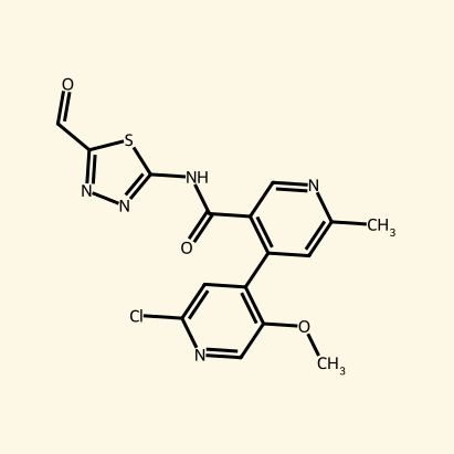 COc1cnc(Cl)cc1-c1cc(C)ncc1C(=O)Nc1nnc(C=O)s1